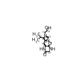 CC(C)c1c(C=C2NC(=O)CNC2=O)ncn1CCO